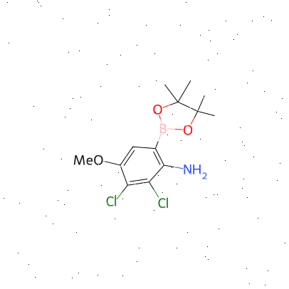 COc1cc(B2OC(C)(C)C(C)(C)O2)c(N)c(Cl)c1Cl